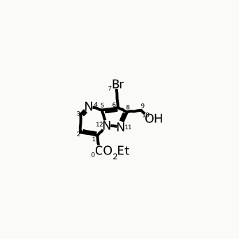 CCOC(=O)c1ccnc2c(Br)c(CO)nn12